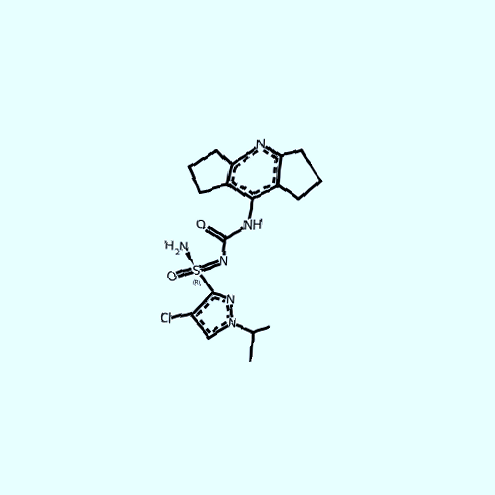 CC(C)n1cc(Cl)c([S@](N)(=O)=NC(=O)Nc2c3c(nc4c2CCC4)CCC3)n1